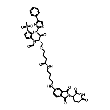 CS(=O)(=O)n1ccc(N(C=O)[C@@H](COCCCC(=O)NCCCCNc2ccc3c(c2)C(=O)N(C2CCC(=O)NC2=O)C3=O)C(=O)Nc2nc(-c3ccccc3)cs2)c1